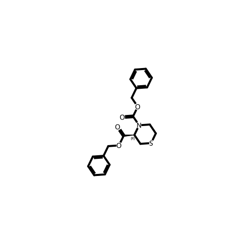 O=C(OCc1ccccc1)[C@@H]1CSCCN1C(=O)OCc1ccccc1